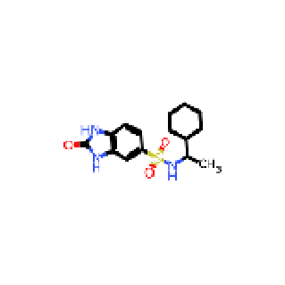 CC(NS(=O)(=O)c1ccc2[nH]c(=O)[nH]c2c1)C1CCCCC1